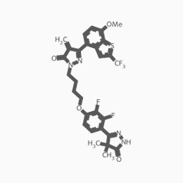 C=C1C(=O)N(CCCCOc2ccc(C3=NNC(=O)C3(C)C)c(F)c2F)N=C1c1ccc(OC)c2sc(C(F)(F)F)cc12